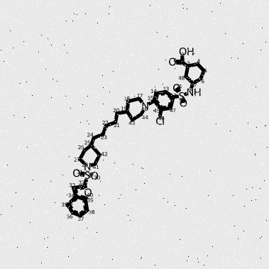 O=C(O)C1CCCC(NS(=O)(=O)c2ccc(N3CCC(CCCCCC4CCN(S(=O)(=O)c5cc6ccccc6o5)CC4)CC3)c(Cl)c2)C1